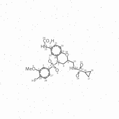 COc1cc(S(=O)(=O)N2CC(CNS(=O)(=O)C3CC3)Oc3ccc(NC(=O)O)cc32)ccc1F